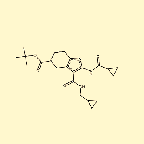 CC(C)(C)OC(=O)N1CCc2sc(NC(=O)C3CC3)c(C(=O)NCC3CC3)c2C1